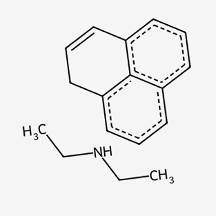 C1=Cc2cccc3cccc(c23)C1.CCNCC